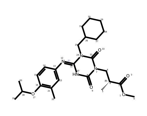 COC(=O)[C@H](C)Cn1c(=O)[nH]/c(=N\c2ccc(OC(C)C)c(C)c2)n(CC2CCCCC2)c1=O